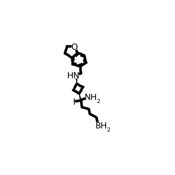 BCCCCC(N)(I)[C@H]1C[C@@H](NCc2ccc3c(c2)CCO3)C1